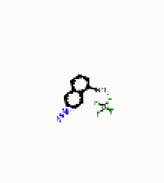 F[B-](F)(F)F.N#[NH+].O=[N+]([O-])c1cccc2ccccc12